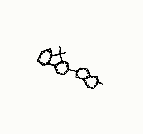 CC1(C)c2ccccc2-c2ccc(-c3ccc4cc(Cl)ccc4n3)cc21